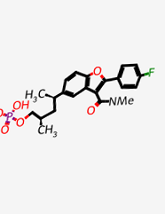 CNC(=O)c1c(-c2ccc(F)cc2)oc2ccc([C@H](C)C[C@@H](C)COP(=O)(O)O)cc12